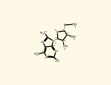 Cc1nc2c(N)nc(Cl)nc2n1[C@@H]1O[C@H](CO)[C@@H](O)[C@H]1O